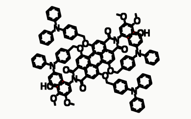 COc1cc(N2C(=O)c3cc(OCc4ccc(N(c5ccccc5)c5ccccc5)cc4)c4c5c(OCc6ccc(N(c7ccccc7)c7ccccc7)cc6)cc6c7c(cc(OCc8ccc(N(c9ccccc9)c9ccccc9)cc8)c(c8c(OCc9ccc(N(c%10ccccc%10)c%10ccccc%10)cc9)cc(c3c48)C2=O)c75)C(=O)N(c2cc(O)c(OC)c(OC)c2)C6=O)cc(O)c1OC